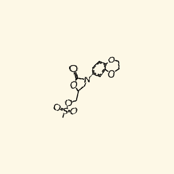 CS(=O)(=O)OCC1CN(c2ccc3c(c2)OCCO3)C(=O)O1